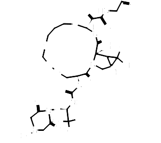 C=CCNC(=O)C(=O)[C@@H]1CCCCCCCOC[C@H](NC(=O)N[C@H](CN2C(=O)CN(C)CC2=O)C(C)(C)C)C(=O)N2C[C@H]3[C@@H]([C@H]2C(=O)N1)C3(C)C